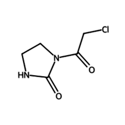 O=C(CCl)N1CCNC1=O